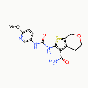 COc1ccc(NC(=O)Nc2sc3c(c2C(N)=O)CCOC3)cn1